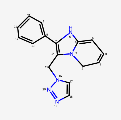 C1=CCN2C(=C1)NC(c1ccccc1)=C2Cn1ccnn1